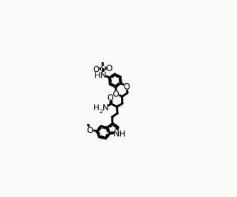 COc1ccc2[nH]cc(CCC(CC3COc4ccc(NS(C)(=O)=O)cc4O3)C(N)=O)c2c1